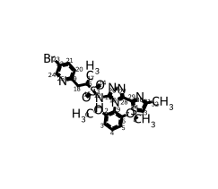 COc1cccc(OC)c1-n1c(NS(=O)(=O)C(C)Cc2ccc(Br)cn2)nnc1-c1nc(C)cs1